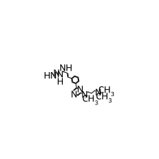 CN(C)CCCN(C)c1cncc(-c2cccc(/C=C/C(=N)NN=N)c2)n1